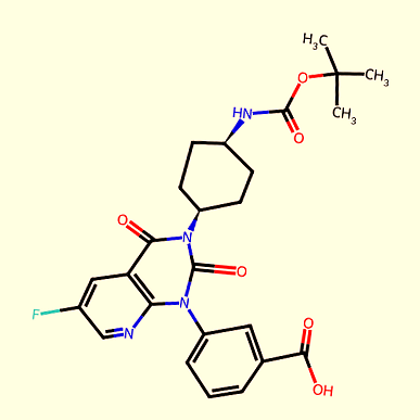 CC(C)(C)OC(=O)N[C@H]1CC[C@@H](n2c(=O)c3cc(F)cnc3n(-c3cccc(C(=O)O)c3)c2=O)CC1